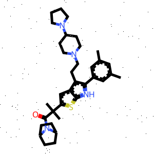 Cc1cc(C)cc(-c2[nH]c3sc(C(C)(C)C(=O)N4C5CCC4CC5)cc3c2CCN2CCC(N3CCCC3)CC2)c1